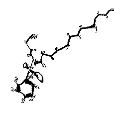 CCCCCCCCCCCCN(CCCC)S(=O)(=O)c1ccccc1